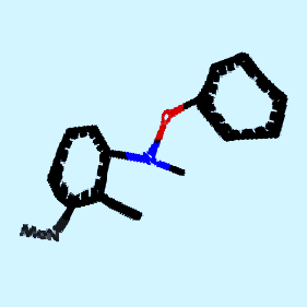 CNc1cccc(N(C)Oc2ccccc2)c1C